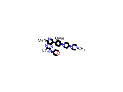 CCc1nc2c(NC)ncc(-c3ccc(N4CCC(N5CCN(C)CC5)CC4)cc3OC)c2nc1NC1CCOCC1